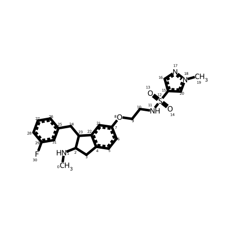 CNC1Cc2ccc(OCCNS(=O)(=O)c3cnn(C)c3)cc2C1Cc1cccc(F)c1